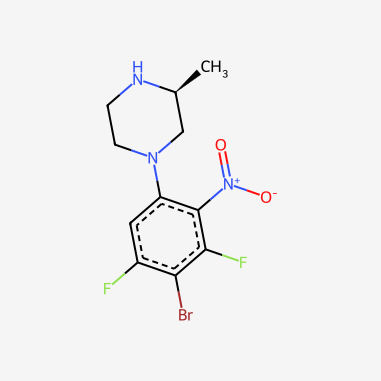 C[C@H]1CN(c2cc(F)c(Br)c(F)c2[N+](=O)[O-])CCN1